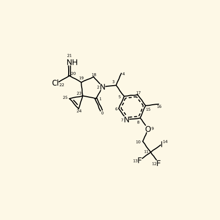 C=C1N(C(C)c2cnc(OCC(F)(F)I)c(C)c2)CC(C(=N)Cl)C12C=C2